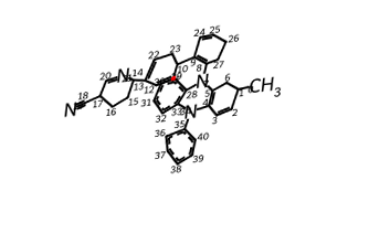 CC1C=CC2=C(C1)N(C1=C(C3C=CC(C4CCC(C#N)C=N4)=CC3)C=CCC1)c1ccccc1N2c1ccccc1